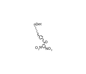 CCCCCCCCCCCCCCCCSc1ccc(C=CC(=O)c2cc([N+](=O)[O-])cc([N+](=O)[O-])c2)cc1